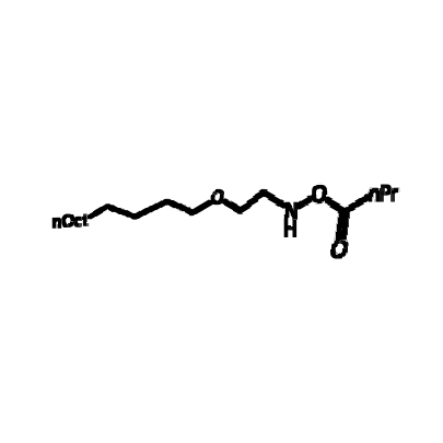 CCCCCCCCCCCCOCCNOC(=O)CCC